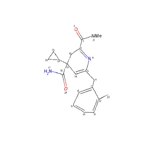 CNC(=O)C1=NC(Cc2ccccc2C)=CC(C(N)=O)(C2CC2)C1